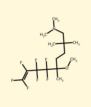 COC(C)(CCC(C)(C)CN(C)C)C(F)(F)C(F)(F)C(F)=C(F)F